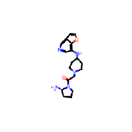 N[C@@H]1CCCN1C(=O)CN1CCC(Nc2cncc3ccoc23)CC1